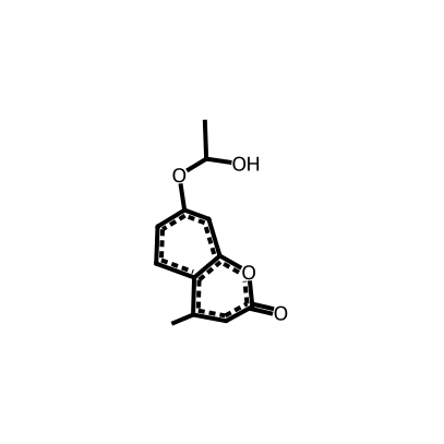 Cc1cc(=O)oc2cc(OC(C)O)ccc12